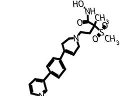 CC(CCN1CC=C(c2ccc(-c3cccnc3)cc2)CC1)(C(=O)NO)S(C)(=O)=O